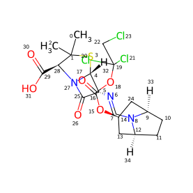 CC1(C)S[C@@H]2[C@H](/N=C/N3[C@@H]4CC[C@H]3C[C@@H](OC(=O)OC(Cl)(Cl)CCl)C4)C(=O)N2[C@H]1C(=O)O